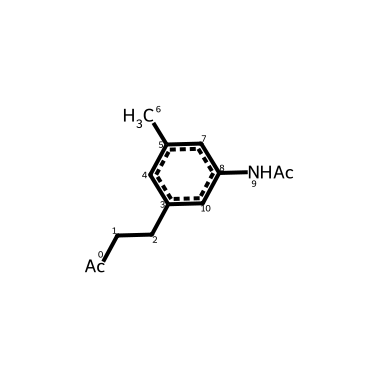 CC(=O)CCc1cc(C)cc(NC(C)=O)c1